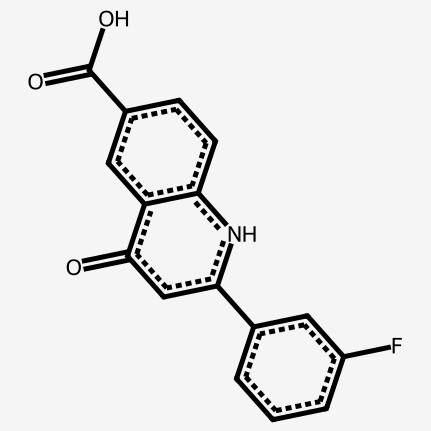 O=C(O)c1ccc2[nH]c(-c3cccc(F)c3)cc(=O)c2c1